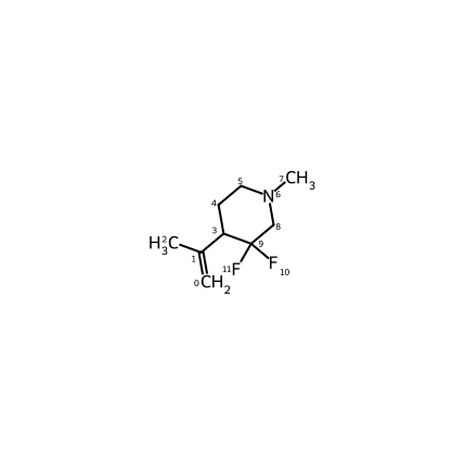 C=C(C)C1CCN(C)CC1(F)F